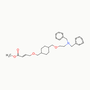 COC(=O)/C=C/COCC1CCC(COCCN(Cc2ccccc2)Cc2ccccc2)CC1